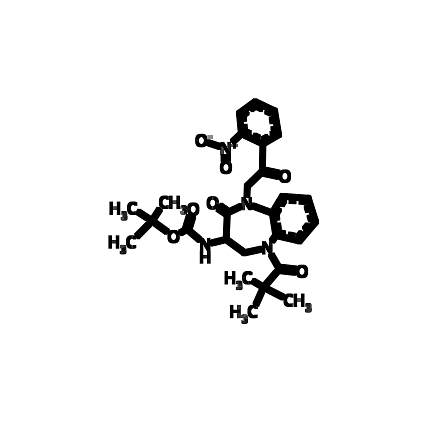 CC(C)(C)OC(=O)NC1CN(C(=O)C(C)(C)C)c2ccccc2N(CC(=O)c2ccccc2[N+](=O)[O-])C1=O